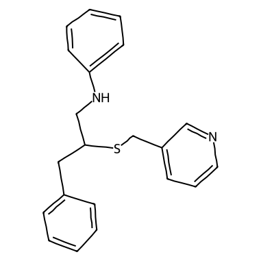 c1ccc(CC(CNc2ccccc2)SCc2cccnc2)cc1